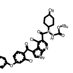 CC(C)(C)OC(=O)NN(C(=O)c1cnc2[nH]cc(C(=O)c3ccc(Oc4ccccc4)cc3Cl)c2c1Cl)C1CCC(C#N)CC1